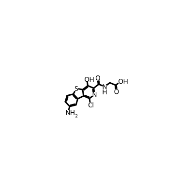 Nc1ccc2sc3c(O)c(C(=O)NCC(=O)O)nc(Cl)c3c2c1